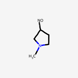 CN1CCC(N=O)C1